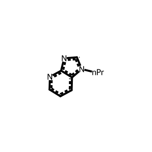 CCCn1[c]nc2ncccc21